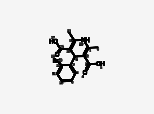 CC1=C(C(=O)O)C(c2ccccc2Br)C(C(=O)O)=C(C)N1